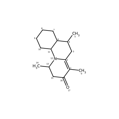 CC1=C2CC(C)C3CCCCC3N2C(C)CC1=O